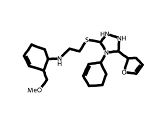 COCC1C=CCCC1NCCSC1NNC(C2CC=CO2)N1C1C=CCCC1